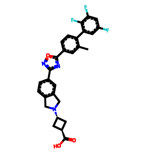 Cc1cc(-c2nc(-c3ccc4c(c3)CN([C@H]3C[C@H](C(=O)O)C3)C4)no2)ccc1-c1cc(F)cc(F)c1F